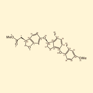 COC(=O)C[C@@H]1COc2cc(O[C@@H]3CCc4c(Oc5ccc(OC)cc5F)ccc(F)c43)ccc21